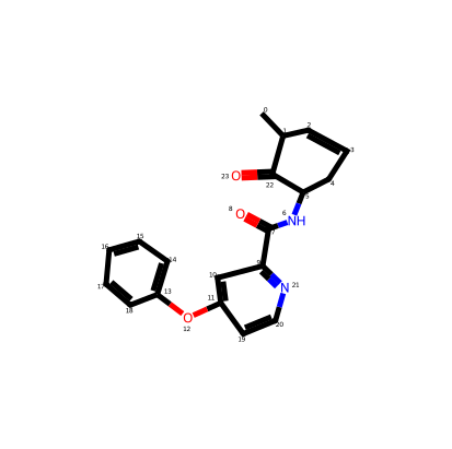 CC1C=CCC(NC(=O)c2cc(Oc3ccccc3)ccn2)C1=O